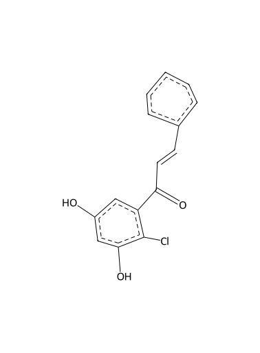 O=C(/C=C/c1ccccc1)c1cc(O)cc(O)c1Cl